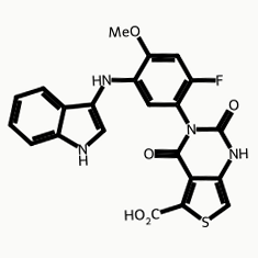 COc1cc(F)c(-n2c(=O)[nH]c3csc(C(=O)O)c3c2=O)cc1Nc1c[nH]c2ccccc12